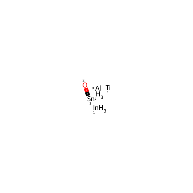 [AlH3].[InH3].[O]=[Sn].[Ti]